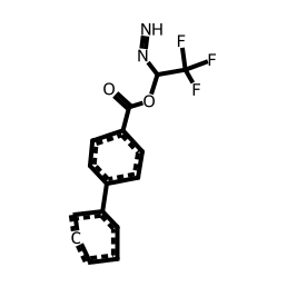 N=NC(OC(=O)c1ccc(-c2ccccc2)cc1)C(F)(F)F